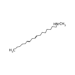 CCCCCC=CCC=CCCCCCCCNC